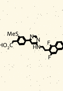 CSc1cc(-c2cc(NCCc3c(F)cc4ccccc4c3F)ncn2)ccc1CC(=O)O